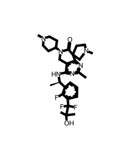 Cc1nc(N[C@H](C)c2cccc(C(F)(F)C(C)(C)O)c2F)c2c(n1)C1(CCN(C)C1)C(=O)N(C1CCN(C)CC1)C2